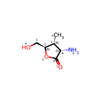 C[C@H]1[C@H](CO)OC(=O)[C@H]1N